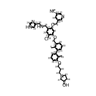 Cc1c(COc2cc(OCc3cncc(C#N)c3)c(CNCc3c[nH]cn3)cc2Cl)cccc1-c1cccc(OCCCN2CC[C@@H](O)C2)c1C